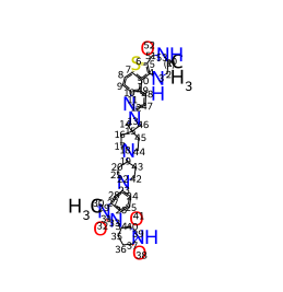 C[C@@H]1CNc2c(sc3ccc4nc(N5CC6(CCN(C7CCN(c8ccc9c(c8)n(C)c(=O)n9C8CCC(=O)NC8=O)CC7)CC6)C5)ccc4c23)C(=O)N1